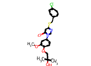 COc1cc(-n2cnc(SCc3ccc(Cl)cc3)cc2=O)ccc1OCC(C)(C)O